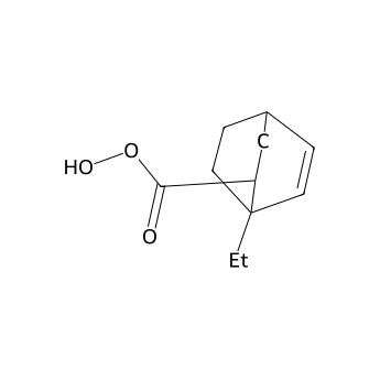 CCC12C=CC(CC1)CC2C(=O)OO